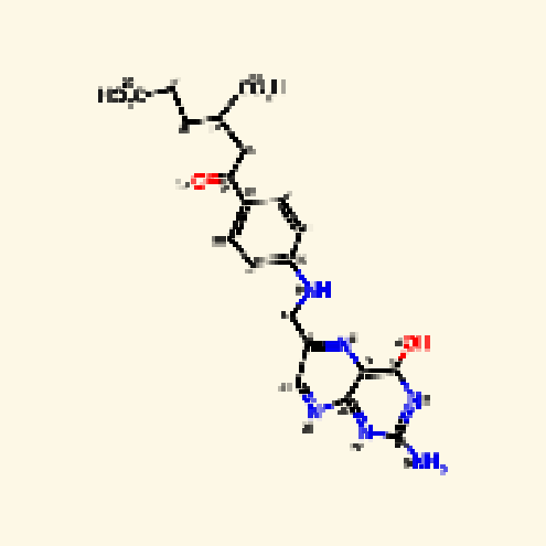 Nc1nc(O)c2nc(CNc3ccc(C(=O)CC(CCC(=O)O)C(=O)O)cc3)cnc2n1